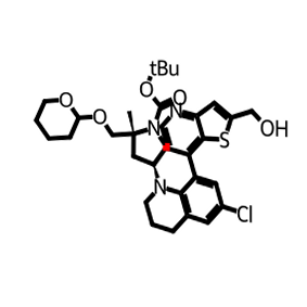 CC(C)(C)OC(=O)N1C[C@@H](N2CCCc3cc(Cl)cc(-c4ccnc5cc(CO)sc45)c32)C[C@]1(C)COC1CCCCO1